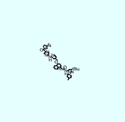 Cc1ccc(-n2nc(C(C)(C)C)cc2NC(=O)Nc2ccc(OCc3ccnc(Nc4cnc(C(=O)N5CC[C@@H](N(C)C)C5)cn4)c3)c3ccccc23)cc1